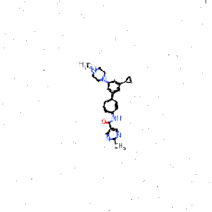 Cc1ncc(C(=O)NC2=C=CC=C(c3cc(C4CC4)cc(N4CCN(C)CC4)c3)C=C2)cn1